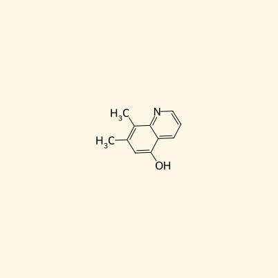 Cc1cc(O)c2cccnc2c1C